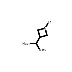 CCCCCCCC(CCCCCC)C1CN(CC)C1